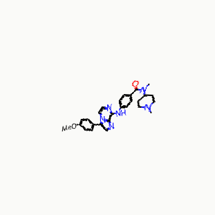 COc1ccc(-c2cnc3c(Nc4ccc(C(=O)N(C)C5CCN(C)CC5)cc4)nccn23)cc1